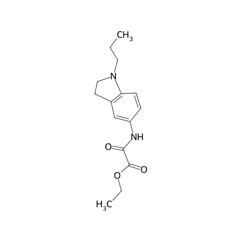 CCCN1CCc2cc(NC(=O)C(=O)OCC)ccc21